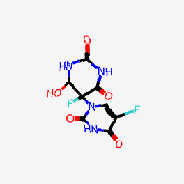 O=C1NC(=O)C(F)(n2cc(F)c(=O)[nH]c2=O)C(O)N1